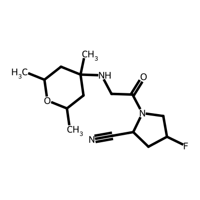 CC1CC(C)(NCC(=O)N2CC(F)CC2C#N)CC(C)O1